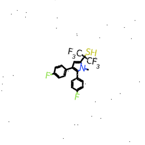 Cn1c(C(S)(C(F)(F)F)C(F)(F)F)cc(-c2ccc(F)cc2)c1-c1ccc(F)cc1